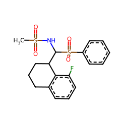 CS(=O)(=O)NC(C1CCCc2cccc(F)c21)S(=O)(=O)c1ccccc1